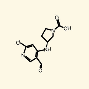 O=Cc1cnc(Cl)cc1N[C@H]1CCN(C(=O)O)C1